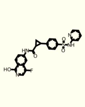 O=C(Nc1ccc2c(O)ncc(F)c2c1)C1CC1c1ccc(S(=O)(=O)Nc2ccccn2)cc1